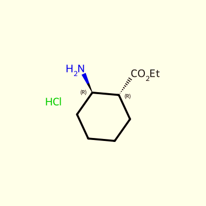 CCOC(=O)[C@@H]1CCCC[C@H]1N.Cl